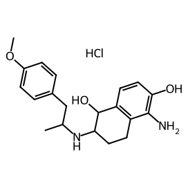 COc1ccc(CC(C)NC2CCc3c(ccc(O)c3N)C2O)cc1.Cl